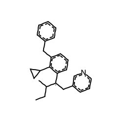 CCC(C)[C](Cc1cccnc1)c1cccc(Cc2ccccc2)c1C1CC1